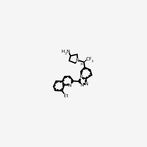 CCc1cccc2ccc(-c3nnc4ccc([C@@H](N5CCC(N)C5)C(F)(F)F)cn34)nc12